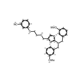 COc1cccc(CN(Cc2cccc(OC)c2)c2nc(COCCOc3cccc(C#N)c3)cs2)c1